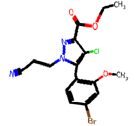 CCOC(=O)c1nn(CCC#N)c(-c2ccc(Br)cc2OC)c1Cl